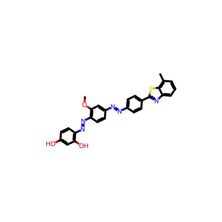 COc1cc(N=Nc2ccc(-c3nc4cccc(C)c4s3)cc2)ccc1N=Nc1ccc(O)cc1O